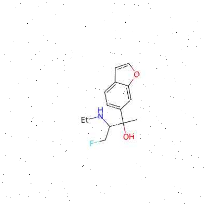 CCNC(CF)C(C)(O)c1ccc2ccoc2c1